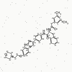 Cc1cc(C)cc(CC(=O)N[C@@H](Cc2ccccc2)C(=O)Nc2ccc(-c3cn4c(n3)sc3cc(OCCN5CCOCC5)ccc34)cc2)c1